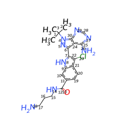 CC(C)(C)n1nc(-c2[nH]c3cc(C(=O)NCCCN)ccc3c2Cl)c2c(N)ncnc21